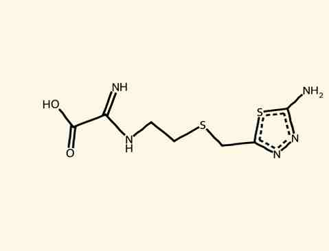 N=C(NCCSCc1nnc(N)s1)C(=O)O